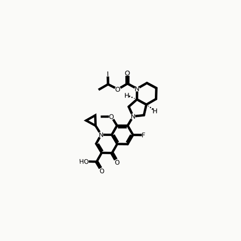 COc1c(N2C[C@@H]3CCCN(C(=O)OC(C)I)[C@@H]3C2)c(F)cc2c(=O)c(C(=O)O)cn(C3CC3)c12